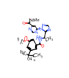 CNC(=O)c1cc(-n2ncnc2[C@H](C)NC(=O)c2cc(OC(F)(F)F)cc(C(C)(C)C#N)c2)ncn1